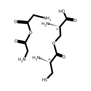 NCC(=O)OC(=O)CN.N[C@@H](COC(=O)[C@@H](N)CS)C(=O)O